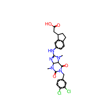 CN1C(=O)N(Cc2ccc(Cl)c(Cl)c2)C(=O)C2C1N=C(Nc1ccc3c(c1)C(CC(=O)O)CC3)N2C